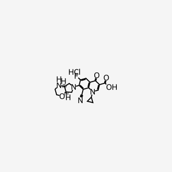 Cl.N#Cc1c(N2C[C@@H]3NCCO[C@H]3C2)c(F)cc2c(=O)c(C(=O)O)cn(C3CC3)c12